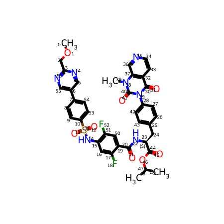 COCc1ncc(-c2ccc(S(=O)(=O)Nc3cc(F)c(C(=O)N[C@@H](Cc4ccc(-n5c(=O)c6ccncc6n(C)c5=O)cc4)C(=O)OC(C)C)cc3F)cc2)cn1